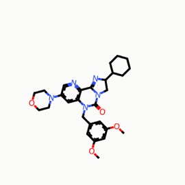 COc1cc(CN2C(=O)N3CC(C4CCCCC4)N=C3c3ncc(N4CCOCC4)cc32)cc(OC)c1